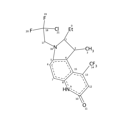 CCC1C(C)c2c(ccc3[nH]c(=O)cc(C(F)(F)F)c23)N1CC(F)(F)Cl